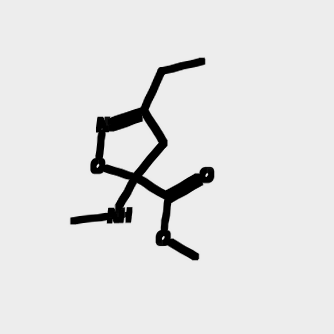 CCC1=NOC(NC)(C(=O)OC)C1